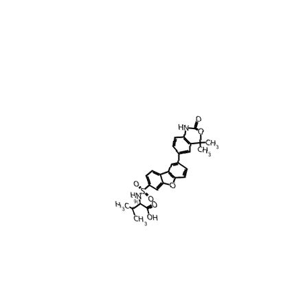 CC(C)[C@@H](NS(=O)(=O)c1ccc2c(c1)oc1ccc(-c3ccc4c(c3)C(C)(C)OC(=O)N4)cc12)C(=O)O